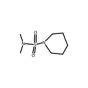 CN(C)S(=O)(=O)N1C[CH]CCC1